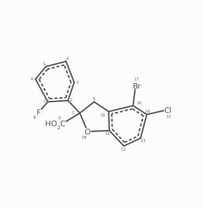 O=C(O)C1(c2ccccc2F)Cc2c(ccc(Cl)c2Br)O1